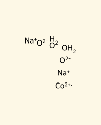 O.O.[Co+2].[Na+].[Na+].[O-2].[O-2]